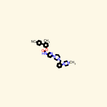 Cc1ccc(OC(=O)Nc2ccc(N3CCCN(Cc4ccccc4N4CCN(C)CC4)CC3)nc2)cc1-c1ccc(C#N)cc1